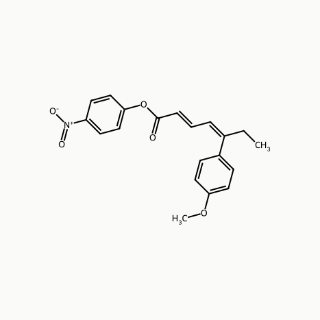 CCC(=CC=CC(=O)Oc1ccc([N+](=O)[O-])cc1)c1ccc(OC)cc1